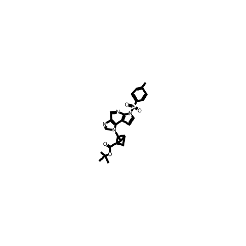 Cc1ccc(S(=O)(=O)n2ccc3c4c(cnc32)ncn4C2C3CC2(C(=O)OC(C)(C)C)C3)cc1